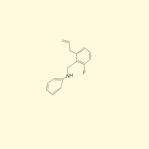 C=CCc1cccc(F)c1CNc1ccccc1